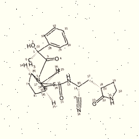 C[C@@](O)(C(=O)N1[C@@H]2CC[C@H]([C@@H]1C(=O)N[C@@H](C#N)C[C@@H]1CCNC1=O)C(F)(F)C2)c1ccccc1